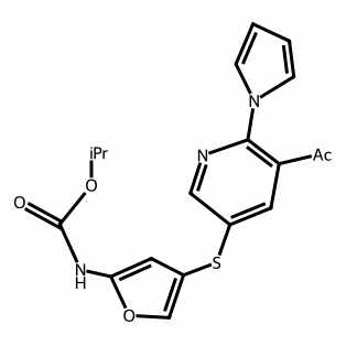 CC(=O)c1cc(Sc2coc(NC(=O)OC(C)C)c2)cnc1-n1cccc1